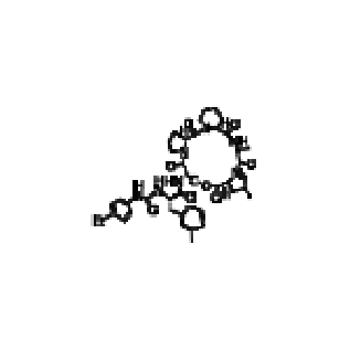 CCc1ccc(NC(=O)N[C@@H](Cc2cccc(C)c2)C(=O)N[C@H]2COC(=O)[C@@H]3C[C@H](C)CN3C(=O)[C@H](C)NC(=O)[C@@H]3CCCCN3C(=O)[C@@H]3CCCN3C2=O)cc1